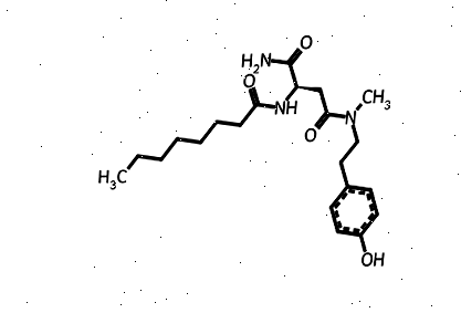 CCCCCCCC(=O)N[C@H](CC(=O)N(C)CCc1ccc(O)cc1)C(N)=O